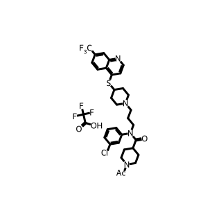 CC(=O)N1CCC(C(=O)N(CCCN2CCC(Sc3ccnc4cc(C(F)(F)F)ccc34)CC2)c2cccc(Cl)c2)CC1.O=C(O)C(F)(F)F